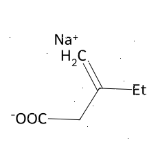 C=C(CC)CC(=O)[O-].[Na+]